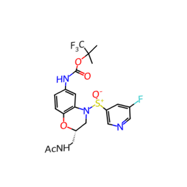 CC(=O)NC[C@H]1CN([S@+]([O-])c2cncc(F)c2)c2cc(NC(=O)OC(C)(C)C(F)(F)F)ccc2O1